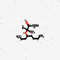 C\C=C/C=C(\C=C/C)OC(C)(CC)C(=O)OC